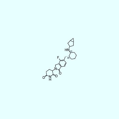 O=C1CCC(N2Cc3c(ccc(C[C@H]4CCCC[C@@H]4NC4CC5CC5C4)c3F)C2=O)C(=O)N1